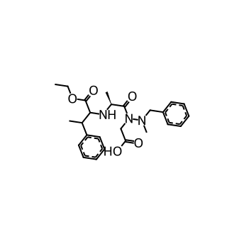 CCOC(=O)C(N[C@@H](C)C(=O)N(CC(=O)O)N(C)Cc1ccccc1)C(C)c1ccccc1